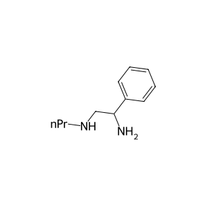 CCCNCC(N)c1ccccc1